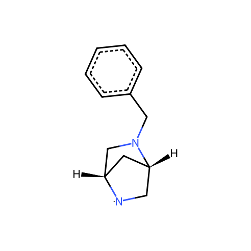 c1ccc(CN2C[C@@H]3C[C@H]2C[N]3)cc1